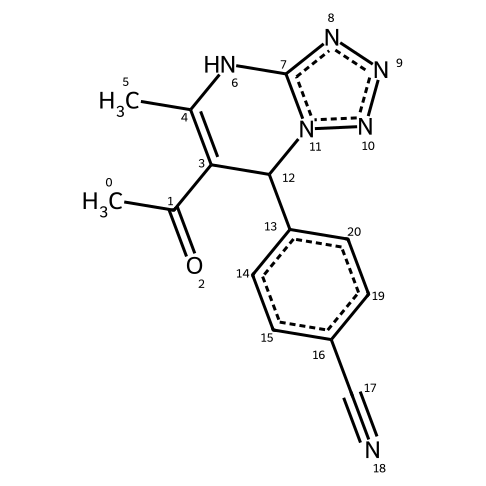 CC(=O)C1=C(C)Nc2nnnn2C1c1ccc(C#N)cc1